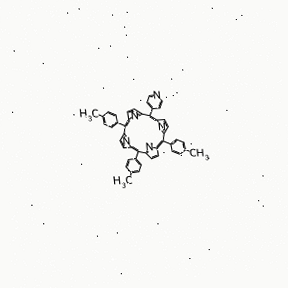 Cc1ccc(C2=C3C=CC(=N3)C(c3ccc(C)cc3)=C3C=CC(=N3)C(c3ccc(C)cc3)=C3C=CC(=N3)C(c3ccncc3)=C3C=CC2=N3)cc1